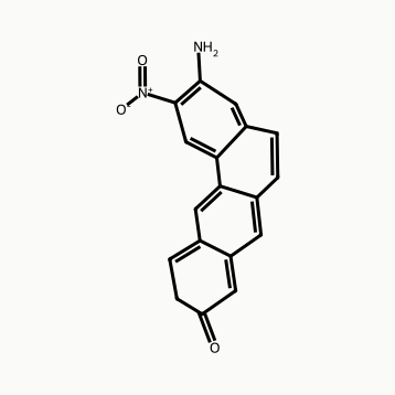 Nc1cc2ccc3cc4c(cc3c2cc1[N+](=O)[O-])=CCC(=O)C=4